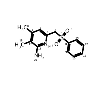 Cc1cc(CS(=O)(=O)c2ccccc2)nc(N)c1C